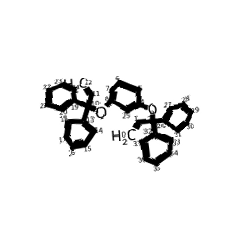 C=CC(Oc1[c]ccc(OC(C=C)(c2ccccc2)c2ccccc2)c1)(c1ccccc1)c1ccccc1